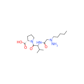 CCCCCN(N)CC(=O)NC(C(=O)N1CCC[C@H]1C(=O)O)C(C)C